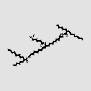 CC/C=C/CCCCC(CCCCCC)C(=O)NCCCCCCCCCC(CCCCCCCCCOC(=O)C(CCCCCC)CCCCCCCC)OC(=O)CCCCN(C)C